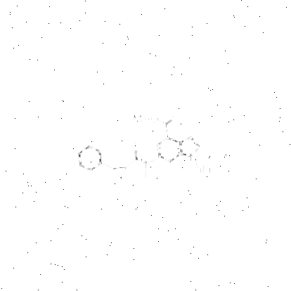 CCCn1ccc2c(C(=O)OC)cc(NC(=O)C3CC3c3ccccc3)cc21